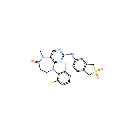 CN1C(=O)CCN(c2c(F)cccc2F)c2nc(Nc3ccc4c(c3)CS(=O)(=O)C4)ncc21